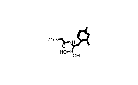 CSCC(=O)NC(Cc1ccc(C)cc1C)B(O)O